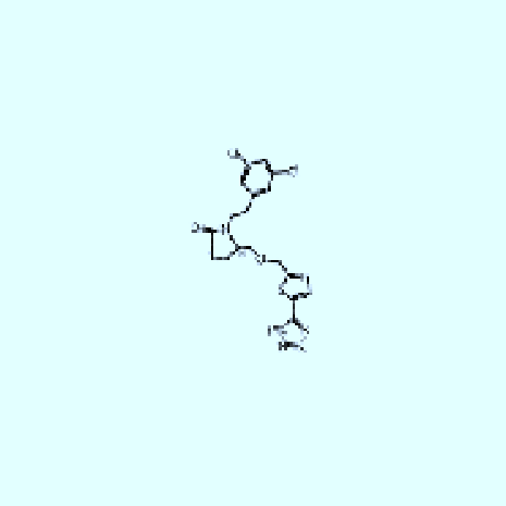 O=C1CC[C@H](COCc2ccc(-c3nnn[nH]3)s2)N1CCc1cc(Cl)cc(Cl)c1